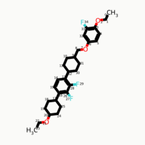 CCOc1ccc(OCC2CCC(c3ccc(C4CCC(OCC)CC4)c(F)c3F)CC2)cc1F